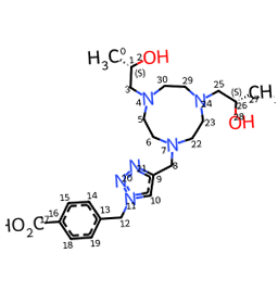 C[C@H](O)CN1CCN(Cc2cn(Cc3ccc(C(=O)O)cc3)nn2)CCN(C[C@H](C)O)CC1